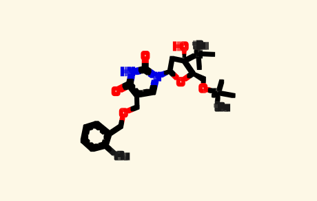 CC(C)(C)c1ccccc1COCc1cn([C@H]2C[C@@](O)([Si](C)(C)C(C)(C)C)[C@@H](CO[Si](C)(C)C(C)(C)C)O2)c(=O)[nH]c1=O